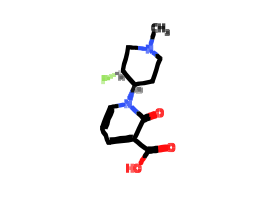 CN1CC[C@@H](n2cccc(C(=O)O)c2=O)[C@H](F)C1